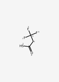 O=C(S)CC(F)(F)F